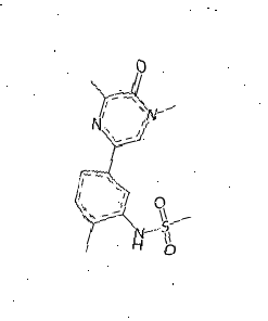 Cc1ccc(-c2cn(C)c(=O)c(C)n2)cc1NS(C)(=O)=O